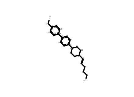 FCCCC=CC1CCC(c2ccc(-c3ccc(CF)cc3)cc2)CC1